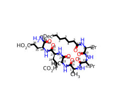 CCCCCCCCCCCCCCCC(=O)N[C@H](C(=O)NC(C(=O)N[C@@H](C)C(=O)N[C@@H](C)C(=O)N[C@@H](CCC(=O)O)C(=O)N[C@@H](CCC(=O)O)C(N)=O)C(C)C)C(C)C